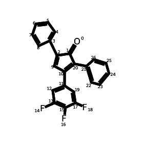 O=C1C(c2ccccc2)=CC(c2cc(F)c(F)c(F)c2)=C1c1ccccc1